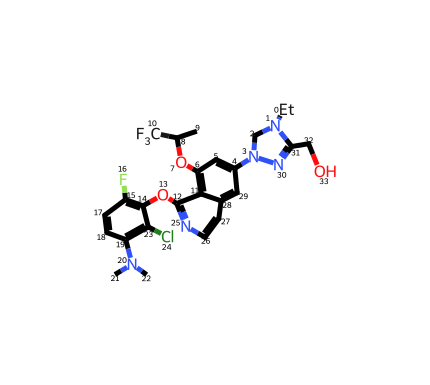 CCN1CN(c2cc(OC(C)C(F)(F)F)c3c(Oc4c(F)ccc(N(C)C)c4Cl)nccc3c2)N=C1CO